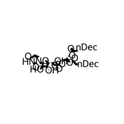 CCCCCCCCCCCC(=O)OC[C@@H](COP(=O)(O)OC[C@H]1O[C@@H](n2ccc(=O)[nH]c2=O)C(O)[C@H]1O)OC(=O)CCCCCCCCCCC